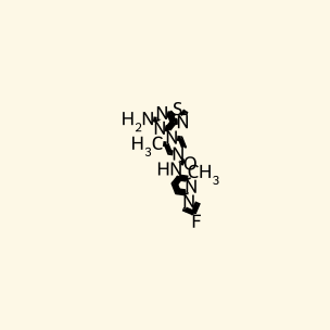 Cc1nc(N2CC(F)C2)ccc1NC(=O)N1CCN(c2nc(N)nc3scnc23)C(C)C1